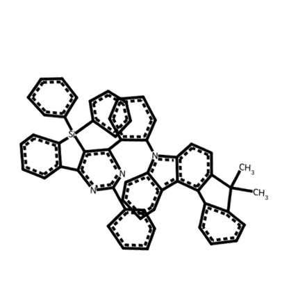 CC1(C)c2ccccc2-c2c1ccc1c2c2ccccc2n1-c1ccccc1-c1nc(-c2ccccc2)nc2c1[Si](c1ccccc1)(c1ccccc1)c1ccccc1-2